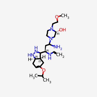 C=CN[C@H](CC(N)N1CCN(CCOC)[C@H](O)C1)C1NN[C@@H]2CC=C(OC(C)C)C[C@H]12